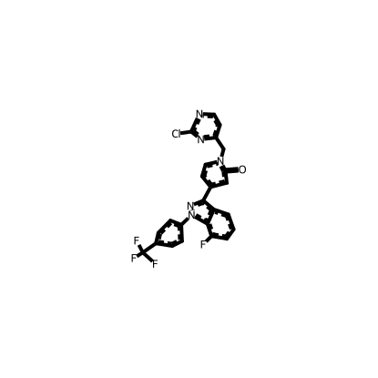 O=c1cc(-c2nn(-c3ccc(C(F)(F)F)cc3)c3c(F)cccc23)ccn1Cc1ccnc(Cl)n1